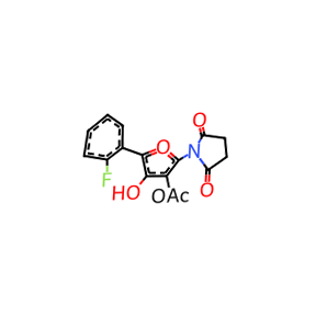 CC(=O)Oc1c(N2C(=O)CCC2=O)oc(-c2ccccc2F)c1O